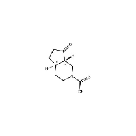 O=C1CC[C@@H]2CCN(C(=O)O)C[C@@H]12